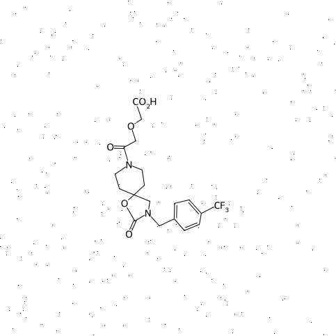 O=C(O)COCC(=O)N1CCC2(CC1)CN(Cc1ccc(C(F)(F)F)cc1)C(=O)O2